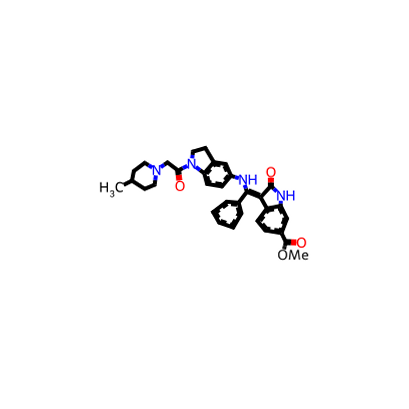 COC(=O)c1ccc2c(c1)NC(=O)/C2=C(\Nc1ccc2c(c1)CCN2C(=O)CN1CCC(C)CC1)c1ccccc1